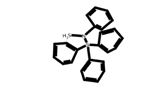 [SiH3]N(c1ccccc1)[Si](c1ccccc1)(c1ccccc1)c1ccccc1